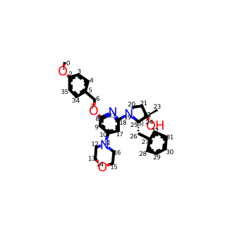 COc1ccc(COc2cc(N3CCOCC3)cc(N3CC[C@](C)(O)[C@@H]3Cc3ccccc3)n2)cc1